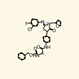 C[C@H](NC(=O)OCc1ccccc1)C(=O)Nc1ccc(C2S/C(=N\c3ccc(F)c(Cl)c3)N(Cc3ccco3)C2=O)cc1